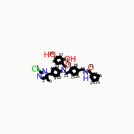 Cc1cnc(Cl)nc1-c1ccc(N(Cc2ccc(CNC(=O)c3ccccc3)cc2)C(=O)c2ccc(O)cc2O)cc1